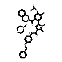 Cc1c(C(=O)Nc2ccc(OCc3ccccc3)cc2)cc(-c2cc(Cl)c(OC(F)F)cc2C(=O)N2Cc3ccccc3C[C@H]2CN2CCOCC2)n1C